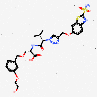 CC(C)[C@@H](C(=O)N[C@@H](COCc1cccc(OCCO)c1)C(=O)O)n1cc(COc2ccc3nc(S(N)(=O)=O)sc3c2)nn1